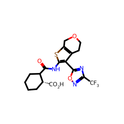 O=C(Nc1sc2c(c1-c1nc(C(F)(F)F)no1)CCOC2)C1CCCC[C@H]1C(=O)O